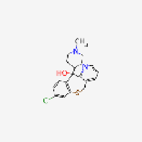 CN1CCC(C2(O)c3ccc(Cl)cc3SCc3cccnc32)CC1